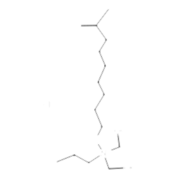 CCC[N+](CO)(CO)OCCCCCCCC(C)C.[Cl-]